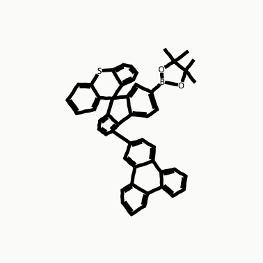 CC1(C)OB(c2ccc3c(c2)C2(c4ccccc4Sc4ccccc42)c2cccc(-c4ccc5c6ccccc6c6ccccc6c5c4)c2-3)OC1(C)C